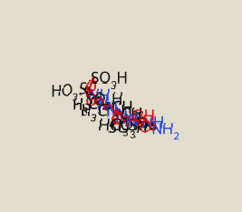 COc1cc(N=Nc2cc(C)c(N=Nc3ccc(N=Nc4ccc(C(=O)Nc5cc6c(OCCCS(=O)(=O)O)cc(S(=O)(=O)O)cc6cc5S(=O)(=O)O)c(C)c4)c(C)c3)cc2OCCCS(=O)(=O)O)c(C)cc1N=Nc1c(S(=O)(=O)O)cc2cc(NC(=O)c3ccc(N)cc3)ccc2c1O